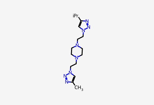 Cc1cn(CCN2CCN(CCn3cc(C(C)C)nn3)CC2)nn1